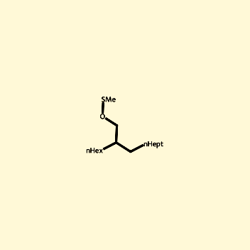 CCCCCCCCC(CCCCCC)COSC